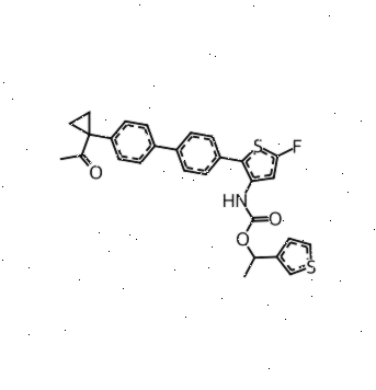 CC(=O)C1(c2ccc(-c3ccc(-c4sc(F)cc4NC(=O)OC(C)c4ccsc4)cc3)cc2)CC1